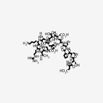 CC(C)C[C@H](NC(=O)[C@@H](NC(=O)[C@H](CCCNC(=N)N)NC(=O)[C@H](CCCCN)NC(=O)[C@H](CO)NC(=O)[C@H](Cc1c[nH]cn1)NC(=O)[C@@H](NC(=O)[C@H](CC(=O)O)NC(=O)[C@@H](NC(=O)[C@H](CC(C)C)NC(=O)[C@@H]1CCCN1C(=O)[C@H](CC(C)C)NC(=O)[C@H](CO)NC(=O)[C@@H](N)CC(=O)O)C(C)C)[C@@H](C)O)[C@@H](C)O)C(=O)O